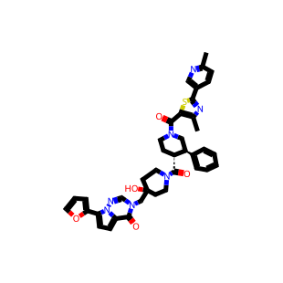 Cc1ccc(-c2nc(C)c(C(=O)N3CC[C@@H](C(=O)N4CCC(O)(Cn5cnn6c(-c7ccco7)ccc6c5=O)CC4)[C@H](c4ccccc4)C3)s2)cn1